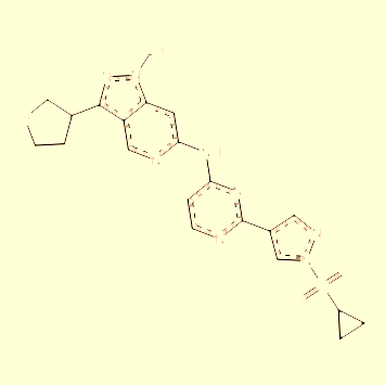 CC(C)n1nc(C2CCOC2)c2cnc(Nc3ccnc(-c4cnn(S(=O)(=O)C5CC5)c4)n3)cc21